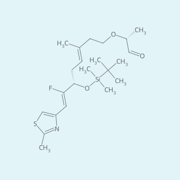 C/C(=C\C[C@H](O[Si](C)(C)C(C)(C)C)/C(F)=C/c1csc(C)n1)CCO[C@H](C)C=O